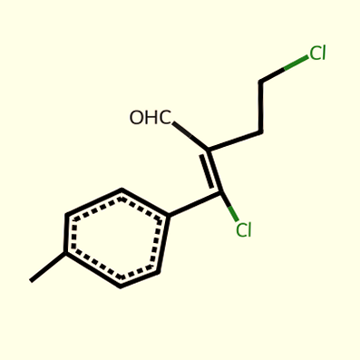 Cc1ccc(/C(Cl)=C(\C=O)CCCl)cc1